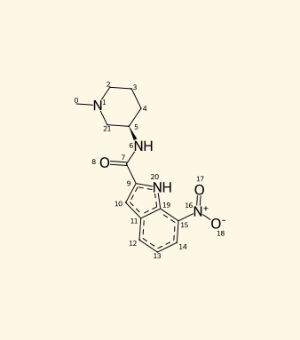 CN1CCC[C@@H](NC(=O)c2cc3cccc([N+](=O)[O-])c3[nH]2)C1